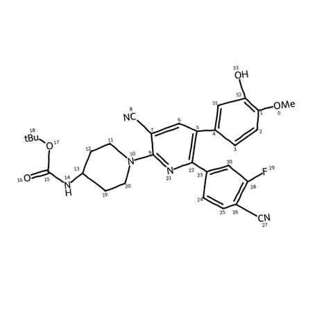 COc1ccc(-c2cc(C#N)c(N3CCC(NC(=O)OC(C)(C)C)CC3)nc2-c2ccc(C#N)c(F)c2)cc1O